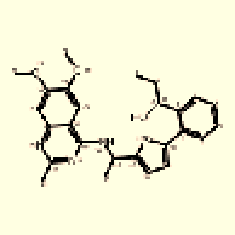 CC[C@@H](O)c1ccccc1-c1ccc(C(C)Nc2nc(C)nc3cc(OC)c(OC)cc23)s1